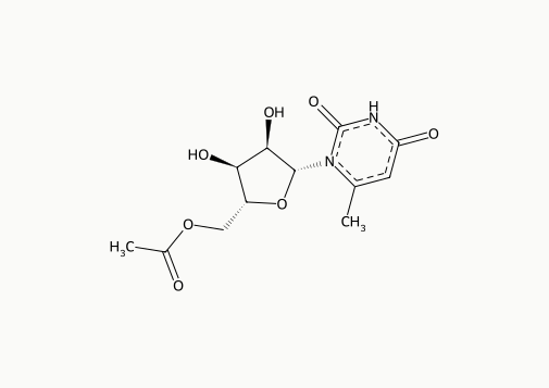 CC(=O)OC[C@H]1O[C@@H](n2c(C)cc(=O)[nH]c2=O)[C@H](O)[C@@H]1O